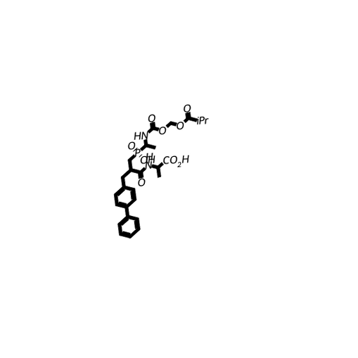 CC(C)C(=O)OCOC(=O)NC(C)P(=O)(O)CC(Cc1ccc(-c2ccccc2)cc1)C(=O)NC(C)C(=O)O